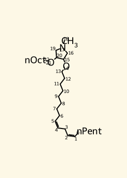 CCCCC/C=C\C/C=C\CCCCCCCCOC1CN(C)CC1OCCCCCCCC